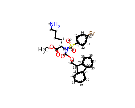 COC(=O)[C@H](CCCCN)N(C(=O)OCC1c2ccccc2-c2ccccc21)S(=O)(=O)c1ccc(Br)cc1